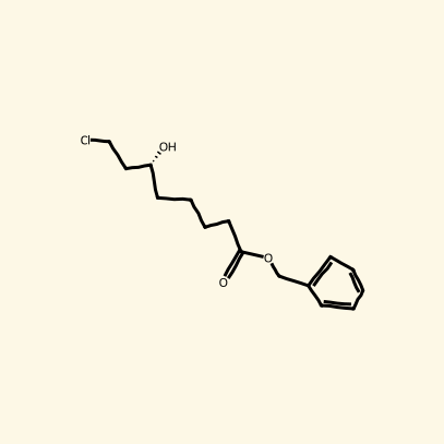 O=C(CCCC[C@@H](O)CCCl)OCc1ccccc1